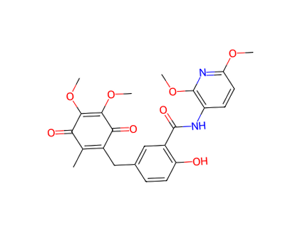 COC1=C(OC)C(=O)C(Cc2ccc(O)c(C(=O)Nc3ccc(OC)nc3OC)c2)=C(C)C1=O